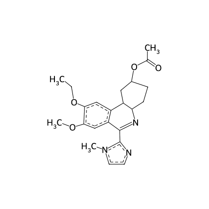 CCOc1cc2c(cc1OC)C(c1nccn1C)=NC1CCC(OC(C)=O)CC21